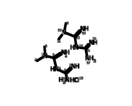 CN(C)C(=N)NC(=N)N.CN(C)C(=N)NC(=N)N.Cl